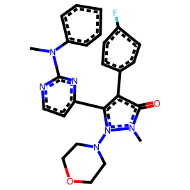 CN(c1ccccc1)c1nccc(-c2c(-c3ccc(F)cc3)c(=O)n(C)n2N2CCOCC2)n1